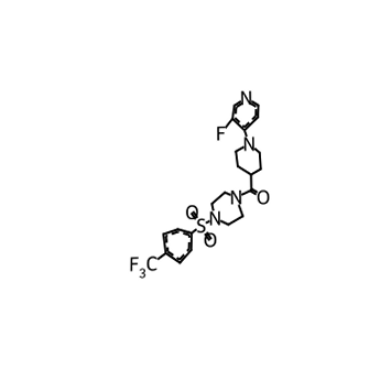 O=C(C1CCN(c2ccncc2F)CC1)N1CCN(S(=O)(=O)c2ccc(C(F)(F)F)cc2)CC1